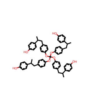 CC(Cc1ccc(OC(Oc2ccc(CC(C)c3ccc(O)cc3)cc2)(Oc2ccc(CC(C)c3ccc(O)cc3)cc2)Oc2ccc(CC(C)c3ccc(O)cc3)cc2)cc1)c1ccc(O)cc1